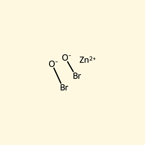 [O-]Br.[O-]Br.[Zn+2]